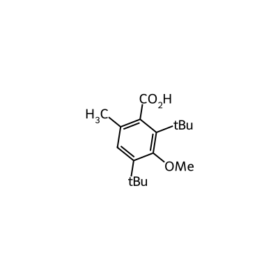 COc1c(C(C)(C)C)cc(C)c(C(=O)O)c1C(C)(C)C